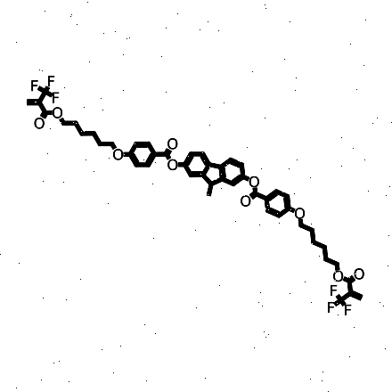 C=C(C(=O)OCCCCCCOc1ccc(C(=O)Oc2ccc3c(c2)C(C)c2cc(OC(=O)c4ccc(OCCCCCCOC(=O)C(=C)C(F)(F)F)cc4)ccc2-3)cc1)C(F)(F)F